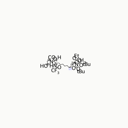 C=C(OCC)[C@@]1(N(C(=O)OC(C)(C)C)C(=O)OC(C)(C)C)C[C@H]1/C=C\CCCCC[C@H](NC(=O)C(F)(F)F)C(=O)N1C[C@H](O)C[C@H]1C(=O)O